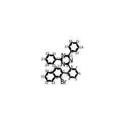 Brc1c(-c2ccccc2-c2nc(-c3ccccc3)nc(-c3ccccc3)n2)ccc2ccccc12